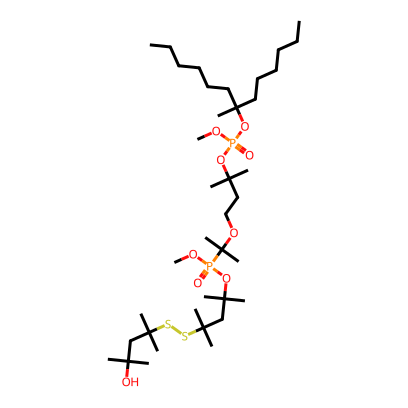 CCCCCCC(C)(CCCCCC)OP(=O)(OC)OC(C)(C)CCOC(C)(C)P(=O)(OC)OC(C)(C)CC(C)(C)SSC(C)(C)CC(C)(C)O